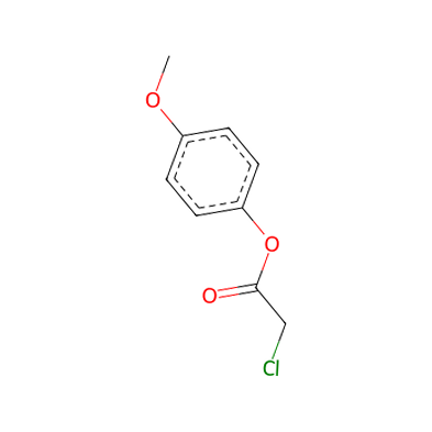 COc1ccc(OC(=O)CCl)cc1